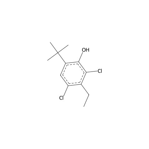 CCc1c(Cl)cc(C(C)(C)C)c(O)c1Cl